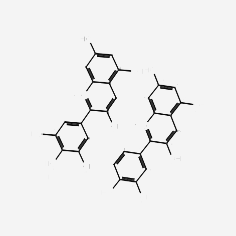 Cl.Oc1cc(O)c2cc(O)c(-c3cc(O)c(O)c(O)c3)[o+]c2c1.Oc1cc(O)c2cc(O)c(-c3ccc(O)c(O)c3)[o+]c2c1